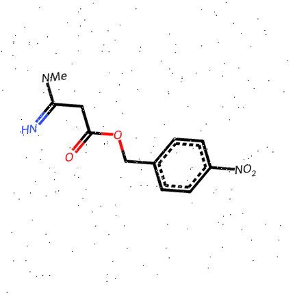 [CH2]NC(=N)CC(=O)OCc1ccc([N+](=O)[O-])cc1